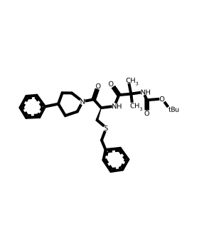 CC(C)(C)OC(=O)NC(C)(C)C(=O)N[C@@H](CSCc1ccccc1)C(=O)N1CCC(c2ccccc2)CC1